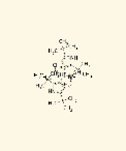 C[N](C)[Hf]([c]1cc(C(C)(C)C)[nH]c1C(C)(C)C)([c]1cc(C(C)(C)C)[nH]c1C(C)(C)C)[N](C)C